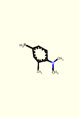 Bc1ccc(N(C)C)c(C)c1